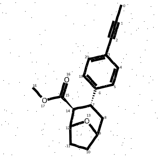 CC#Cc1ccc([C@@H]2CC3CCC(O3)[C@H]2C(=O)OC)cc1